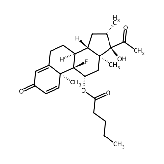 CCCCC(=O)O[C@H]1C[C@@]2(C)[C@@H](C[C@H](C)[C@]2(O)C(C)=O)[C@@H]2CCC3=CC(=O)C=C[C@]3(C)[C@@]12F